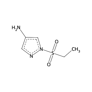 CCS(=O)(=O)n1cc(N)cn1